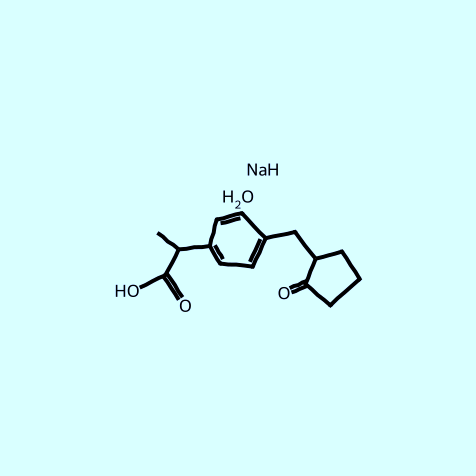 CC(C(=O)O)c1ccc(CC2CCCC2=O)cc1.O.[NaH]